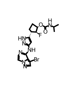 CC(C)NC(=O)O[C@H]1CC[C@@H](c2cc(Nc3nccn4ncc(Br)c34)n[nH]2)[C@@H]1F